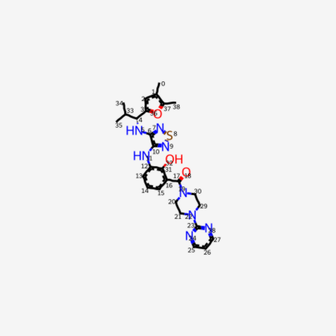 Cc1cc([C@H](Nc2nsnc2Nc2cccc(C(=O)N3CCN(c4ncccn4)CC3)c2O)C(C)C)oc1C